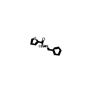 O=C(NN=Cc1ccccc1)c1cccs1